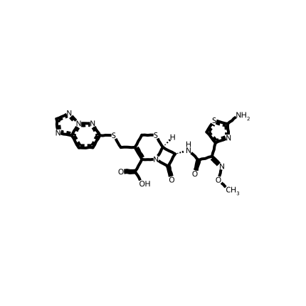 CO/N=C(\C(=O)N[C@@H]1C(=O)N2C(C(=O)O)=C(CSc3ccc4ncnn4n3)CS[C@@H]12)c1csc(N)n1